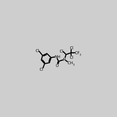 CN(C(=O)Nc1cc(Cl)cc(Cl)c1)C(Cl)C(Cl)(Cl)C(F)(F)F